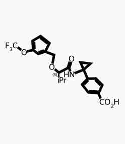 CC(C)[C@@H](OCc1cccc(OC(F)(F)F)c1)C(=O)NC1(c2ccc(C(=O)O)cc2)CC1